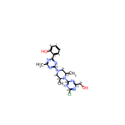 Cc1nc(-c2ccccc2O)nc(N2CC(C)N(c3nc(Cl)nc(CO)n3)C(C)C2)n1